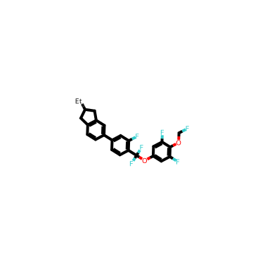 CCC1Cc2ccc(-c3ccc(C(F)(F)Oc4cc(F)c(OCF)c(F)c4)c(F)c3)cc2C1